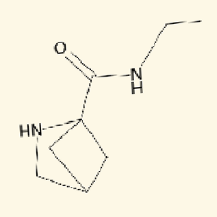 CCNC(=O)C12CC(CN1)C2